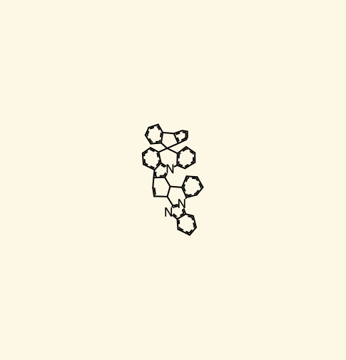 C1=CC2c3nc4ccccc4n3-c3ccccc3C2c2c1c1cccc3c1n2-c1ccccc1C31c2ccccc2-c2ccccc21